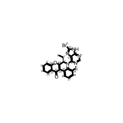 CC[C@@H](Nc1ncnc2[nH]c(Br)nc12)c1oc2ccccc2c(=O)c1-c1cccc(F)c1